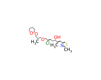 C/C(=C\c1csc(C)n1)[C@@H](O)C/C=C(\Cl)COC[C@H](C)COC1CCCCO1